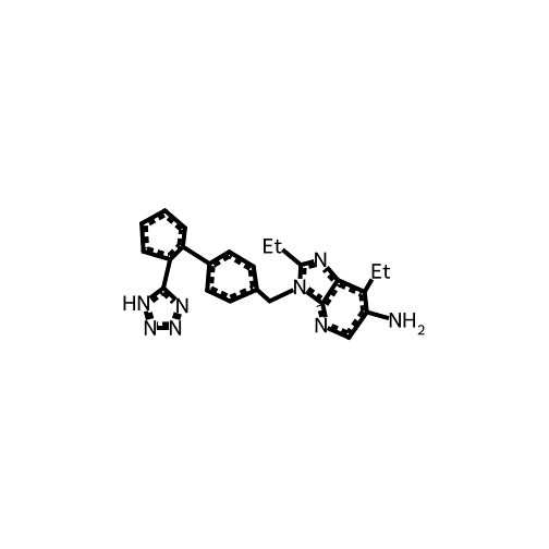 CCc1c(N)cnc2c1nc(CC)n2Cc1ccc(-c2ccccc2-c2nnn[nH]2)cc1